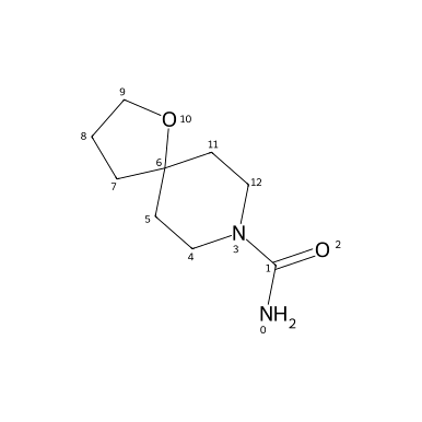 NC(=O)N1CCC2(CCCO2)CC1